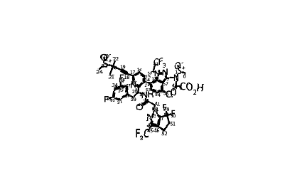 C[S+]([O-])N(C(=O)C(=O)O)c1nn(CC(F)(F)F)c2c(-c3ccc(C#CC(C)(C)[S+](C)[O-])nc3C(Cc3cc(F)cc(F)c3)NC(=O)Cn3nc(C(F)(F)F)c4c3C(F)(F)CC4)ccc(Cl)c12